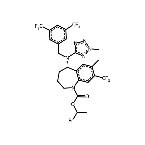 Cc1cc2c(cc1C(F)(F)F)N(C(=O)OC(C)C(C)C)CCC[C@@H]2N(Cc1cc(C(F)(F)F)cc(C(F)(F)F)c1)c1nnn(C)n1